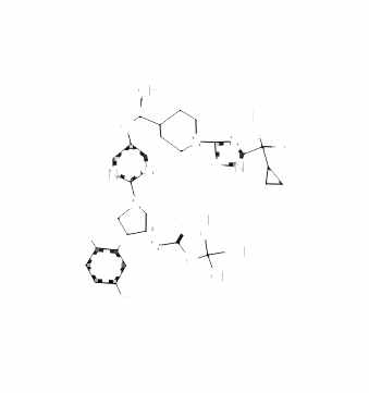 C[C@H](Oc1cnc(N2C[C@H](NC(=O)OC(C)(C)C)[C@@H](c3cc(F)ccc3F)C2)nc1)C1CCN(c2nc(C(C)(O)C3CC3)no2)CC1